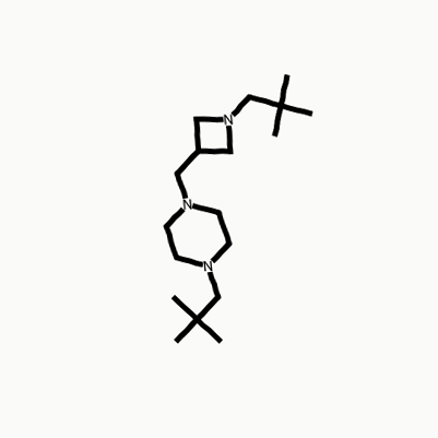 CC(C)(C)CN1CCN(CC2CN(CC(C)(C)C)C2)CC1